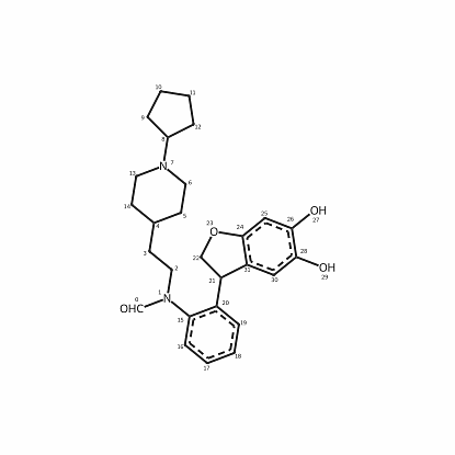 O=CN(CCC1CCN(C2CCCC2)CC1)c1ccccc1C1COc2cc(O)c(O)cc21